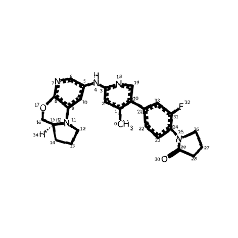 Cc1cc(Nc2cnc3c(c2)N2CCC[C@H]2CO3)ncc1-c1ccc(N2CCCC2=O)c(F)c1